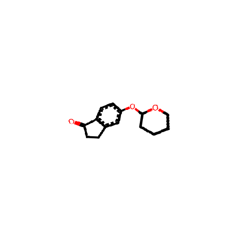 O=C1CCc2cc(OC3CCCCO3)ccc21